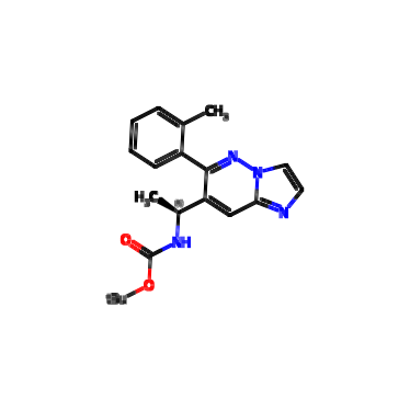 Cc1ccccc1-c1nn2ccnc2cc1[C@H](C)NC(=O)OC(C)(C)C